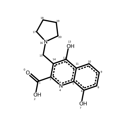 O=C(O)c1nc2c(O)cccc2c(O)c1CN1CCCC1